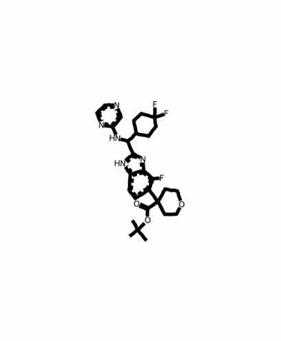 CC(C)(C)OC(=O)C1(c2ccc3[nH]c(C(Nc4cnccn4)C4CCC(F)(F)CC4)nc3c2F)CCOCC1